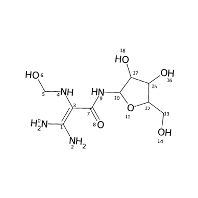 NC(N)=C(NCO)C(=O)NC1OC(CO)C(O)C1O